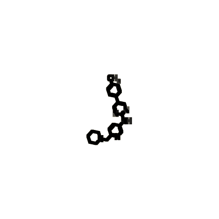 Cc1ccc(-c2cnc(Nc3ccc(CN4CCCCC4)nc3)nc2)cc1